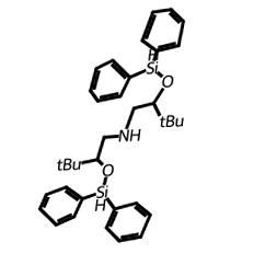 CC(C)(C)C(CNCC(O[SiH](c1ccccc1)c1ccccc1)C(C)(C)C)O[SiH](c1ccccc1)c1ccccc1